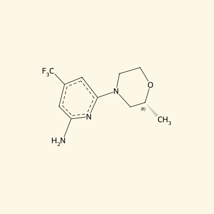 C[C@@H]1CN(c2cc(C(F)(F)F)cc(N)n2)CCO1